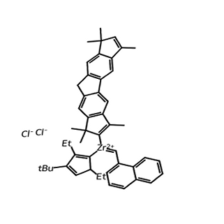 CCC1=[C]([Zr+2](=[CH]c2cccc3ccccc23)[C]2=C(C)c3cc4c(cc3C2(C)C)Cc2cc3c(cc2-4)C(C)=CC3(C)C)C(CC)C=C1C(C)(C)C.[Cl-].[Cl-]